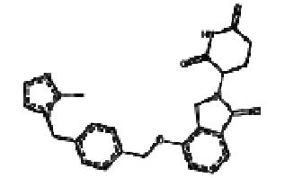 C=C1CCC(N2Cc3c(OCc4ccc(Cn5ccnc5C)cc4)cccc3C2=O)C(=O)N1